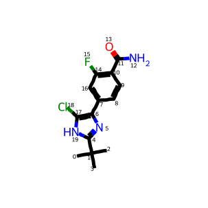 CC(C)(C)c1nc(-c2ccc(C(N)=O)c(F)c2)c(Cl)[nH]1